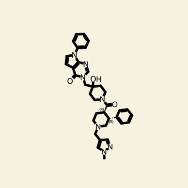 Cn1cc(CN2CC[C@@H](C(=O)N3CCC(O)(Cn4cnc5c(ccn5-c5ccccc5)c4=O)CC3)[C@H](c3ccccc3)C2)cn1